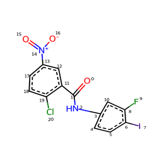 O=C(Nc1ccc(I)c(F)c1)c1cc([N+](=O)[O-])ccc1Cl